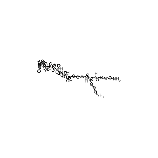 CC[C@H](C)[C@@H]([C@@H](CC(=O)N1CCC[C@H]1[C@H](OC)[C@@H](C)C(=O)N[C@H](C)[C@@H](OC(=O)[C@@H](NC(=O)[C@@H]1CCCN1C(=O)[C@H](CC(=O)O)NC(=O)CCOCCOCCOCCNC(=O)[C@H](CCCCNC(=O)CCOCCOCCOCCN)NC(=O)CCOCCOCCOCCN)C(C)C)c1ccccc1)OC)N(C)C(=O)[C@@H](NC(=O)[C@H](C(C)C)N(C)C(=O)OCc1ccccc1)C(C)C